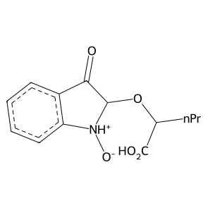 CCCC(OC1C(=O)c2ccccc2[NH+]1[O-])C(=O)O